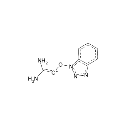 NC(N)=[O+]On1nnc2ccccc21